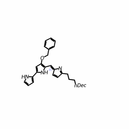 CCCCCCCCCCCCCC1=N/C(=C/c2[nH]c(-c3ccc[nH]3)cc2OCc2ccccc2)C=C1